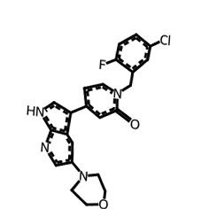 O=c1cc(-c2c[nH]c3ncc(N4CCOCC4)cc23)ccn1Cc1cc(Cl)ccc1F